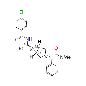 CC[C@H](NC(=O)c1ccc(Cl)cc1)[C@H]1[C@@H]2C[C@@H]([C@H](C(=O)NC)c3ccccc3)C[C@@H]21